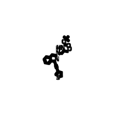 CC(C)(C)OC(=O)NC(C=O)CNc1cc2ccccc2c(C#Cc2ccsc2)n1